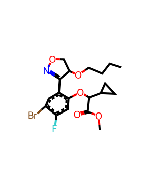 CCCCOC1CON=C1c1cc(Br)c(F)cc1OC(C(=O)OC)C1CC1